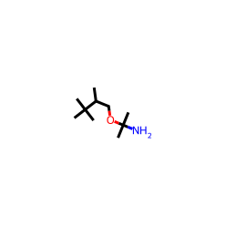 CC(COC(C)(C)N)C(C)(C)C